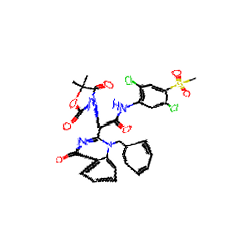 CC1(C)OC(=O)N(C(C(=O)Nc2cc(Cl)c(S(C)(=O)=O)cc2Cl)c2nc(=O)c3ccccc3n2Cc2ccccc2)C1=O